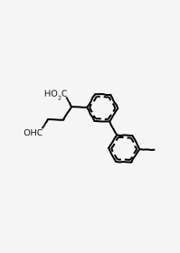 Cc1cccc(-c2cccc(C(CCC=O)C(=O)O)c2)c1